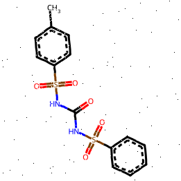 Cc1ccc(S(=O)(=O)NC(=O)NS(=O)(=O)c2ccccc2)cc1